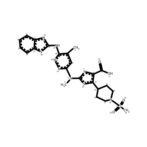 Cc1cc(N(C)c2nc(C(=O)O)c(C3CCN(S(C)(=O)=O)CC3)s2)nnc1Nc1nc2ccccc2s1